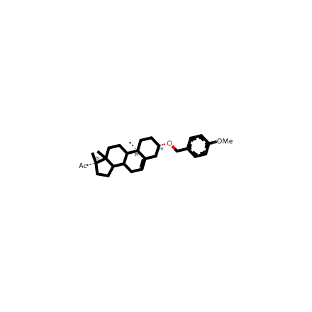 COc1ccc(CO[C@H]2CC[C@@]3(C)C(=CCC4C5CC[C@](C)(C(C)=O)C5(C)CCC43)C2)cc1